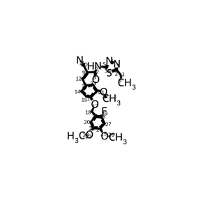 CCc1nnc(NC(=O)C(C#N)=Cc2ccc(OCc3cc(OC)c(OC)cc3F)c(OC)c2)s1